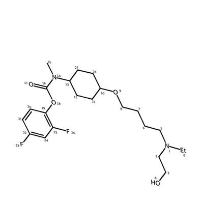 CCN(CCO)CCCCOC1CCC(N(C)C(=O)Oc2ccc(F)cc2F)CC1